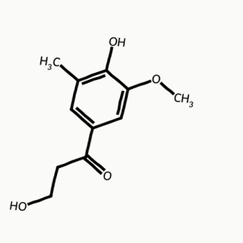 COc1cc(C(=O)CCO)cc(C)c1O